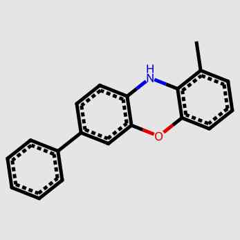 Cc1cccc2c1Nc1ccc(-c3ccccc3)cc1O2